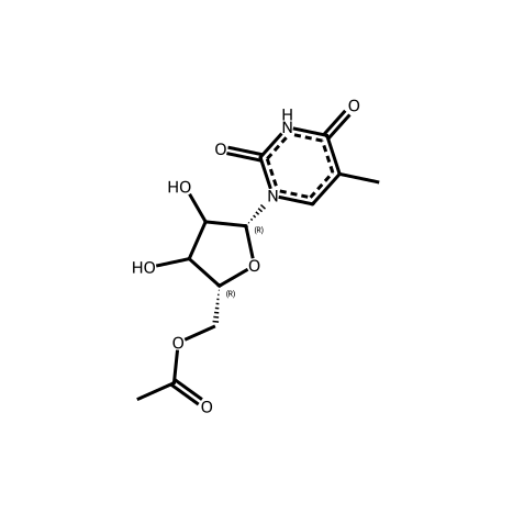 CC(=O)OC[C@H]1O[C@@H](n2cc(C)c(=O)[nH]c2=O)C(O)C1O